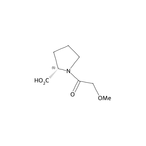 COCC(=O)N1CCC[C@H]1C(=O)O